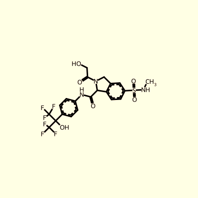 CNS(=O)(=O)c1ccc2c(c1)CN(C(=O)CO)C2C(=O)Nc1ccc(C(O)(C(F)(F)F)C(F)(F)F)cc1